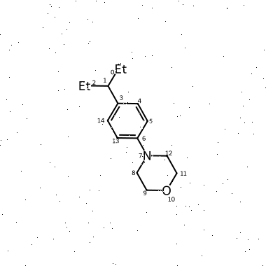 CCC(CC)c1ccc(N2CCOCC2)cc1